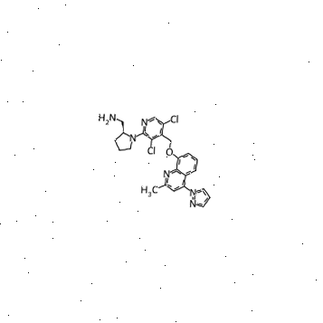 Cc1cc(-n2cccn2)c2cccc(OCc3c(Cl)cnc(N4CCC[C@H]4CN)c3Cl)c2n1